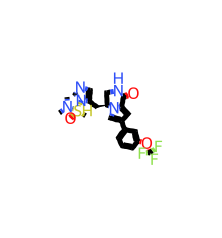 CN(C)[SH](C)(=O)n1cncc1C[C@H]1CNC(=O)c2cc(-c3cccc(OC(F)(F)F)c3)cn21